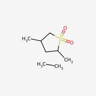 CC.CC1CC(C)S(=O)(=O)C1